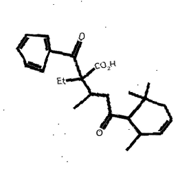 CCC(C(=O)O)(C(=O)c1ccccc1)C(C)CC(=O)C1C(C)C=CCC1(C)C